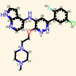 CN1CCN(CCOc2nnc(-c3cc(Cl)ccc3F)cc2Nc2ccnc3[nH]ccc23)CC1